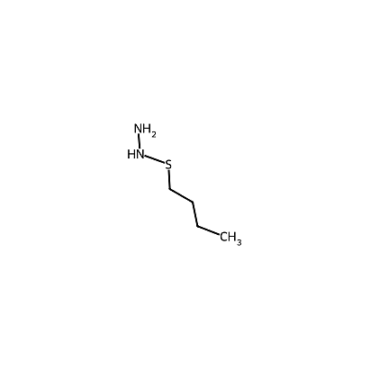 CCCCSNN